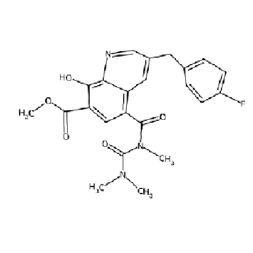 COC(=O)c1cc(C(=O)N(C)C(=O)N(C)C)c2cc(Cc3ccc(F)cc3)cnc2c1O